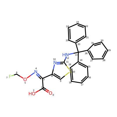 O=C(O)C(=NOCF)c1csc(NC(c2ccccc2)(c2ccccc2)c2ccccc2)n1